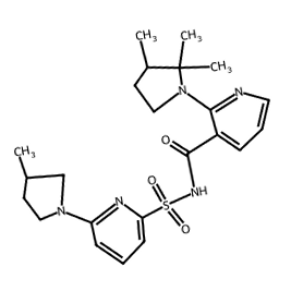 CC1CCN(c2cccc(S(=O)(=O)NC(=O)c3cccnc3N3CCC(C)C3(C)C)n2)C1